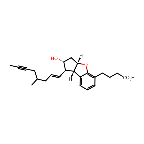 CC#CCC(C)C/C=C/[C@@H]1[C@H]2c3cccc(CCCC(=O)O)c3O[C@H]2C[C@H]1O